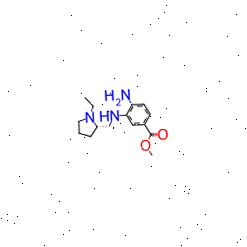 CCN1CCC[C@H]1CNc1cc(C(=O)OC)ccc1N